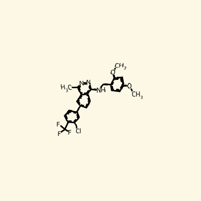 COc1ccc(CNc2nnc(C)c3cc(-c4ccc(C(F)(F)F)c(Cl)c4)ccc23)c(OC)c1